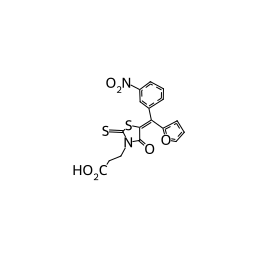 O=C(O)CCN1C(=O)C(=C(c2cccc([N+](=O)[O-])c2)c2ccco2)SC1=S